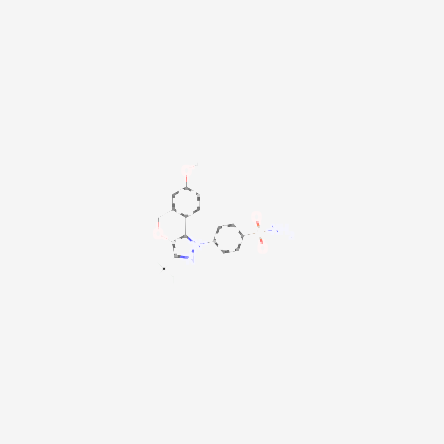 COc1ccc2c(c1)COc1c(C(F)(F)F)nn(-c3ccc(S(N)(=O)=O)cc3)c1-2